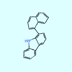 c1ccc2c(-c3cccc4c3[nH]c3ccccc34)cccc2c1